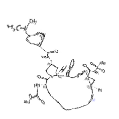 CCC(C)S(=O)(=O)NC(=O)[C@@]12C[C@H]1/C=C\CCCCC[C@H](NC(=O)OC(C)(C)C)C(=O)N1C[C@H](NC(=O)c3ccc(N(C)C)cc3)C[C@H]1C(=O)N2